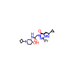 CC(C)c1nn(CC(=O)N[C@H]2CN(C3CCC3)CC[C@H]2O)c(=O)c2cc(C3CC3)nn12